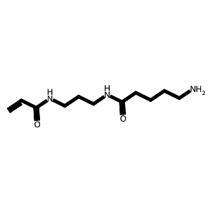 C=CC(=O)NCCCNC(=O)CCCCN